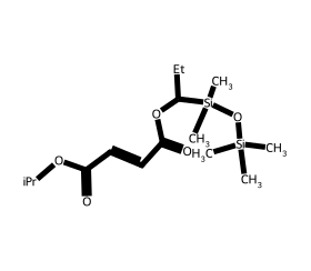 CCC(OC(=O)/C=C/C(=O)OC(C)C)[Si](C)(C)O[Si](C)(C)C